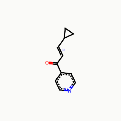 O=C(/C=C/C1CC1)c1ccncc1